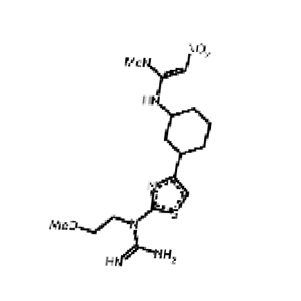 CNC(=C[N+](=O)[O-])NC1CCCC(c2csc(N(CCOC)C(=N)N)n2)C1